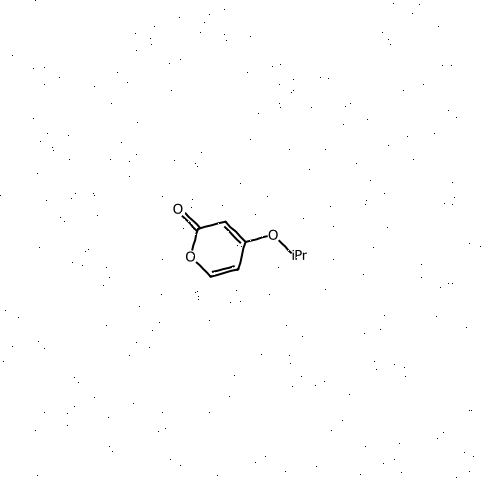 CC(C)Oc1ccoc(=O)c1